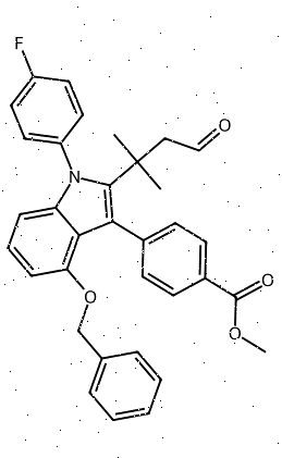 COC(=O)c1ccc(-c2c(C(C)(C)CC=O)n(-c3ccc(F)cc3)c3cccc(OCc4ccccc4)c23)cc1